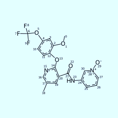 COc1cc(OC(F)(F)F)ccc1Oc1ncc(C)cc1C(=O)Nc1ccc[n+]([O-])c1